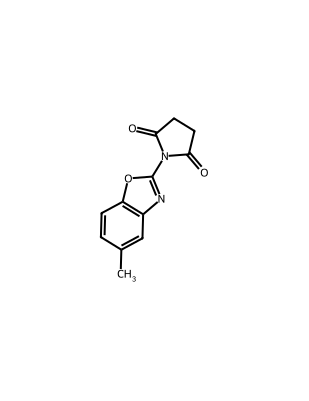 Cc1ccc2oc(N3C(=O)CCC3=O)nc2c1